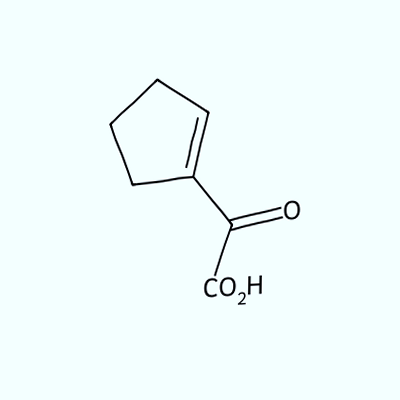 O=C(O)C(=O)C1=CCCC1